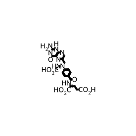 Nc1nc(=O)c2nc(CN(NC(=O)O)c3ccc(C(=O)N[C@@H](CCC(=O)O)C(=O)O)cc3)cnc2[nH]1